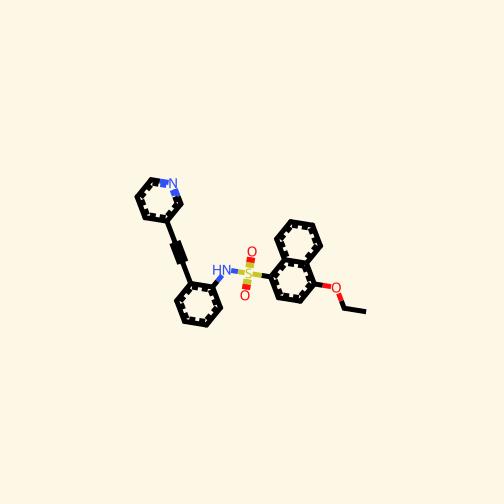 CCOc1ccc(S(=O)(=O)Nc2ccccc2C#Cc2cccnc2)c2ccccc12